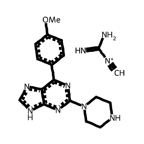 C#[N+]C(=N)N.COc1ccc(-c2nc(N3CCNCC3)nc3[nH]cnc23)cc1